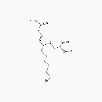 CCCCCC(=O)CC=CC(CCCCCCC#N)SCC(OCC)OCC